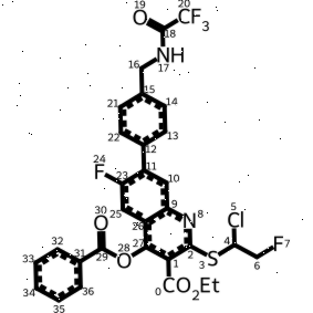 CCOC(=O)c1c(SC(Cl)CF)nc2cc(-c3ccc(CNC(=O)C(F)(F)F)cc3)c(F)cc2c1OC(=O)c1ccccc1